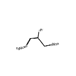 CCCCCCCCCCC(CCC)CCCCCCCCCC